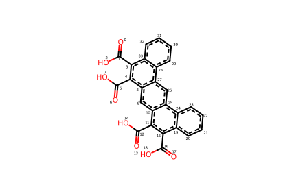 O=C(O)c1c(C(=O)O)c2cc3c(C(=O)O)c(C(=O)O)c4ccccc4c3cc2c2ccccc12